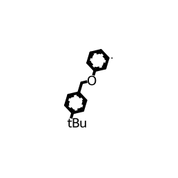 CC(C)(C)c1ccc(COc2c[c]ccc2)cc1